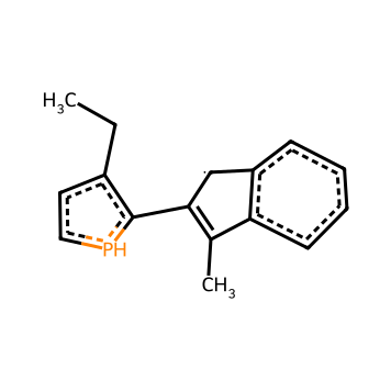 CCc1cc[pH]c1C1=C(C)c2ccccc2[CH]1